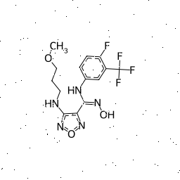 COCCCNc1nonc1/C(=N\O)Nc1ccc(F)c(C(F)(F)F)c1